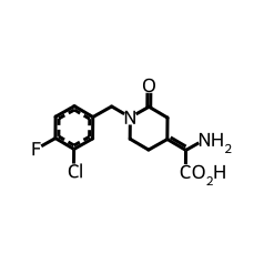 NC(C(=O)O)=C1CCN(Cc2ccc(F)c(Cl)c2)C(=O)C1